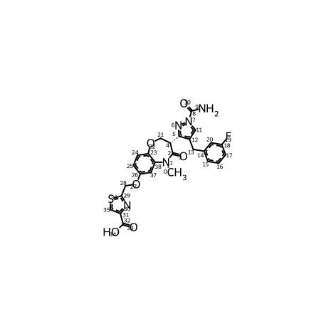 CN1C(=O)[C@@H](c2nn(C(N)=O)cc2Cc2cccc(F)c2)COc2ccc(OCc3nc(C(=O)O)cs3)cc21